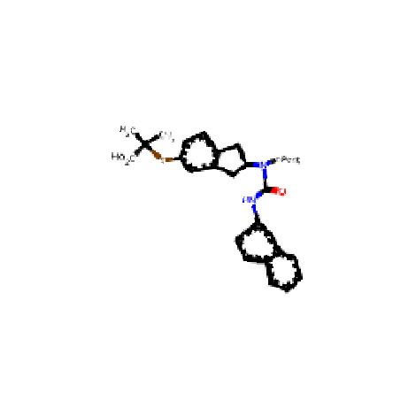 CCCCCN(C(=O)Nc1ccc2ccccc2c1)C1Cc2ccc(SC(C)(C)C(=O)O)cc2C1